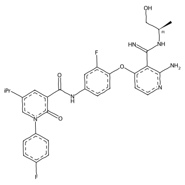 CC(C)c1cc(C(=O)Nc2ccc(Oc3ccnc(N)c3C(=N)N[C@H](C)CO)c(F)c2)c(=O)n(-c2ccc(F)cc2)c1